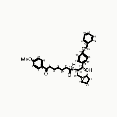 COc1ccc(C(=O)CCCCCC(=O)N[C@H](CN2CCCC2)[C@H](O)c2ccc(OCc3ccccc3)cc2)cc1